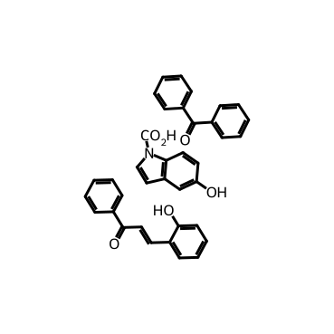 O=C(C=Cc1ccccc1O)c1ccccc1.O=C(O)n1ccc2cc(O)ccc21.O=C(c1ccccc1)c1ccccc1